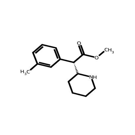 COC(=O)[C@@H](c1cccc(C)c1)C1CCCCN1